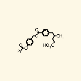 CC(CCC(=O)O)Cc1ccc(C(=O)OCc2ccc(OC(=O)C(C)C)cc2)cc1